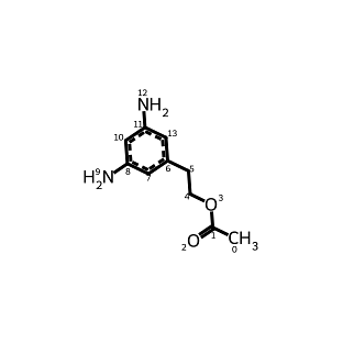 CC(=O)OCCc1cc(N)cc(N)c1